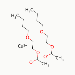 CCCCOCCOC(C)[O-].CCCCOCCOC(C)[O-].[Cu+2]